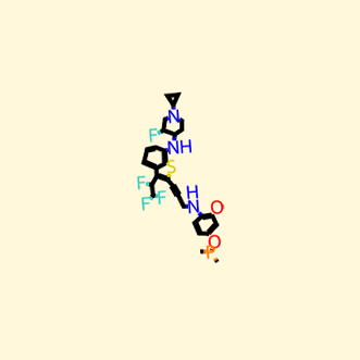 COc1cc(OP(C)C)ccc1NCC#Cc1sc2c(NC3CCN(C4CC4)CC3F)cccc2c1C(F)C(F)F